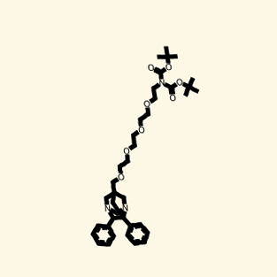 CC(C)(C)OC(=O)N(CCOCCOCCOCCOCC12CN3CN(C1)C(c1ccccc1)(C2)C3c1ccccc1)C(=O)OC(C)(C)C